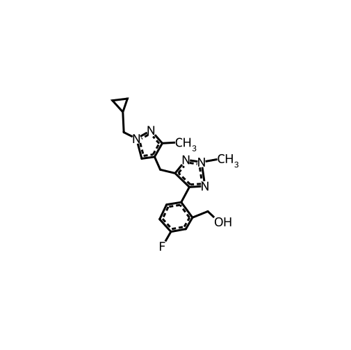 Cc1nn(CC2CC2)cc1Cc1nn(C)nc1-c1ccc(F)cc1CO